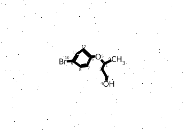 CC(C[CH]O)Oc1ccc(Br)cc1